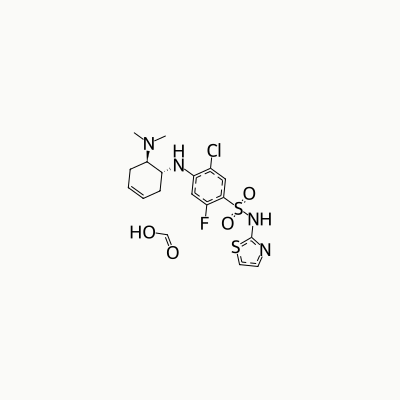 CN(C)[C@@H]1CC=CC[C@H]1Nc1cc(F)c(S(=O)(=O)Nc2nccs2)cc1Cl.O=CO